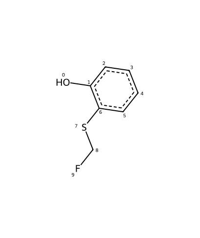 Oc1ccccc1SCF